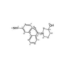 N#Cc1cccc(-c2ccccc2C(=O)N2CCCC(O)C2)c1